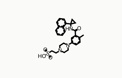 Cc1ccc(N2CCN(CCS(=O)(=O)O)CC2)cc1C(=O)NC1(c2cccc3ccccc23)CC1